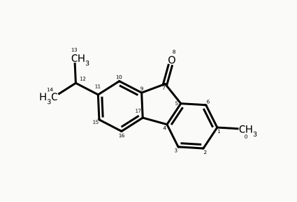 Cc1ccc2c(c1)C(=O)c1cc(C(C)C)ccc1-2